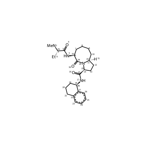 CC[C@H](NC)C(=O)N[C@H]1CCCC[C@H]2CC[C@@H](C(=O)N[C@@H]3CCCc4ccccc43)N2C1=O